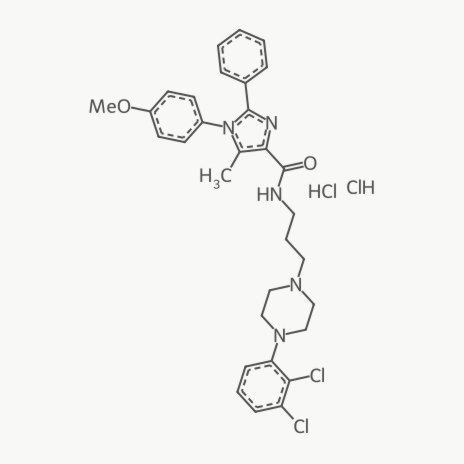 COc1ccc(-n2c(-c3ccccc3)nc(C(=O)NCCCN3CCN(c4cccc(Cl)c4Cl)CC3)c2C)cc1.Cl.Cl